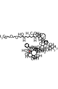 COCCOCCOCC[C@@H](O)NCCCCC(N[C@@H](O)C1SC([C@@H](O)O[C@H]([C@H](O)O[C@@H]2C[C@]3(O)[C@H](O[C@H](O)c4ccccc4)[C@H]4[C@@]5(O[C@H](C)O)CO[C@H]5C[C@@H](O)[C@]4(C)[C@@H](O)[C@@H](O)[C@@H](C2C)C3(C)C)[C@H](N[C@@H](O)OC(C)(C)C)c2ccccc2)[C@H]2OCCCO[C@@H]12)[C@@H](C)O